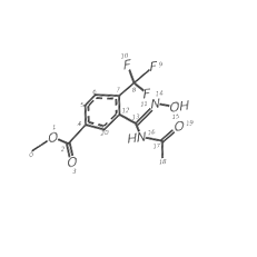 COC(=O)c1ccc(C(F)(F)F)c(C(=NO)NC(C)=O)c1